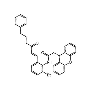 CCc1cccc(/C=C/C(=O)CCCc2ccccc2)c1NC(=O)CC1c2ccccc2Oc2ccccc21